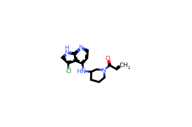 C=CC(=O)N1CCCC(Nc2ccnc3[nH]cc(Cl)c23)C1